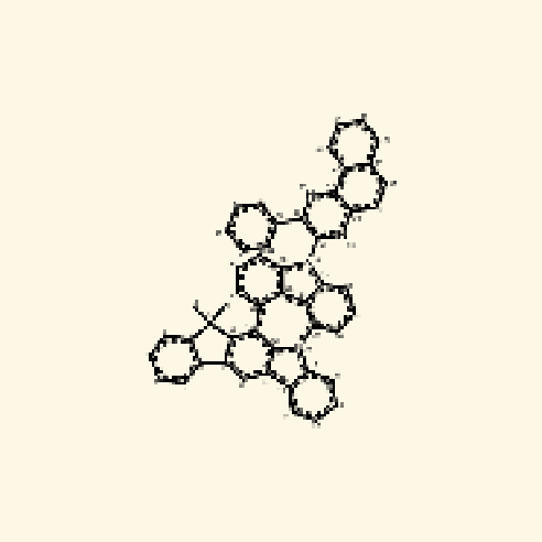 CC1(C)c2ccccc2-c2cc3c4ccccc4n4c5cccc6c5c5c(cccc5n6-c5nc6ccc7ccccc7c6nc5-c5ccccc5)c(c21)c34